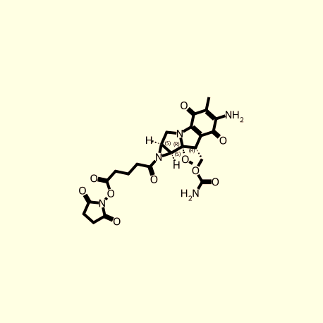 CO[C@]12[C@@H]3[C@H](CN1C1=C(C(=O)C(N)=C(C)C1=O)[C@@H]2COC(N)=O)N3C(=O)CCCC(=O)ON1C(=O)CCC1=O